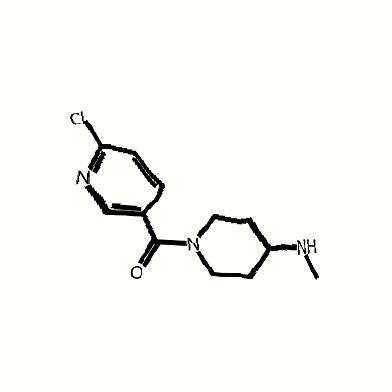 CNC1CCN(C(=O)c2ccc(Cl)nc2)CC1